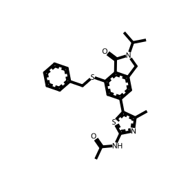 CC(=O)Nc1nc(C)c(-c2cc3c(c(SCc4ccccc4)c2)C(=O)N(C(C)C)C3)s1